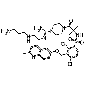 Cc1ccc2cc(OCc3c(Cl)ccc(S(=O)(=O)NC(C)(C)C(=O)N4CCN(C(N)=NCCNCCCN)CC4)c3Cl)ccc2n1